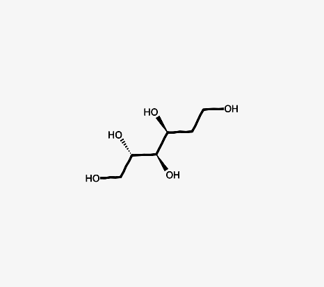 OCC[C@H](O)[C@@H](O)[C@@H](O)CO